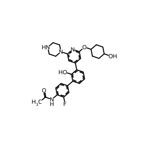 CC(=O)Nc1ccc(-c2cccc(-c3cc(OC4CCC(O)CC4)nc(N4CCNCC4)c3)c2O)cc1F